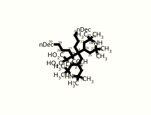 CCCCCCCCCCCCCC(CC1CC(C)(C)NC(C)(C)C1)(C1CC(C)(C)NC(C)(C)C1)C(CCCCCCCCCCCCC)(C(=O)O)C(C(=O)O)(C(=O)O)C(=O)O